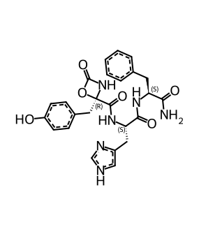 NC(=O)[C@H](Cc1ccccc1)NC(=O)[C@H](Cc1c[nH]cn1)NC(=O)[C@]1(Cc2ccc(O)cc2)NC(=O)O1